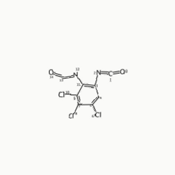 O=C=Nc1cc(Cl)c(Cl)c(Cl)c1N=C=O